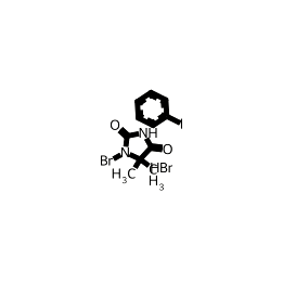 Br.CC1(C)C(=O)NC(=O)N1Br.Ic1ccccc1